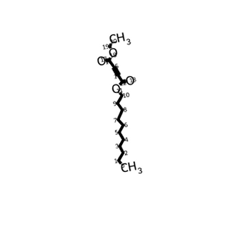 CCCCCCCCCCCOC(=O)C#CC(=O)OCC